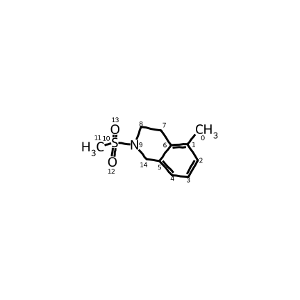 Cc1cccc2c1CCN(S(C)(=O)=O)C2